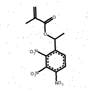 C=C(C)C(=O)OC(C)c1ccc([N+](=O)[O-])c([N+](=O)[O-])c1[N+](=O)[O-]